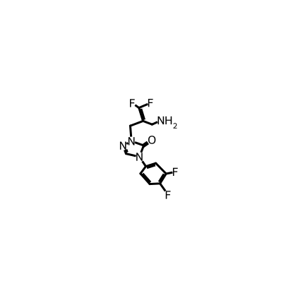 NCC(Cn1ncn(-c2ccc(F)c(F)c2)c1=O)=C(F)F